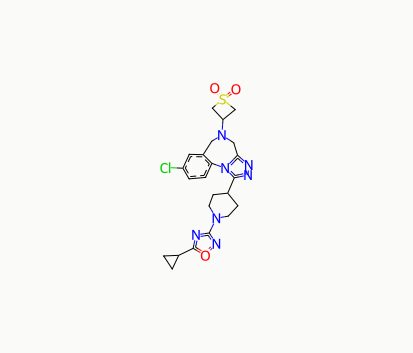 O=S1(=O)CC(N2Cc3cc(Cl)ccc3-n3c(nnc3C3CCN(c4noc(C5CC5)n4)CC3)C2)C1